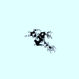 COc1nc(N2C[C@H]3CSC(NC(=O)OC(C)(C)C)=N[C@@]3(c3cc(N(C)C)ccc3F)C2)nc(C)c1F